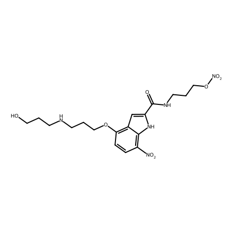 O=C(NCCCO[N+](=O)[O-])c1cc2c(OCCCNCCCO)ccc([N+](=O)[O-])c2[nH]1